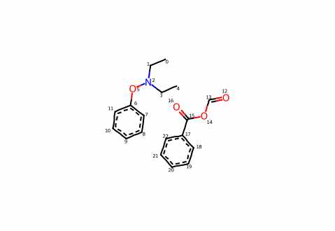 CCN(CC)Oc1ccccc1.O=COC(=O)c1ccccc1